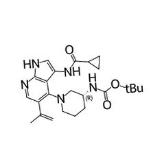 C=C(C)c1cnc2[nH]cc(NC(=O)C3CC3)c2c1N1CCC[C@@H](NC(=O)OC(C)(C)C)C1